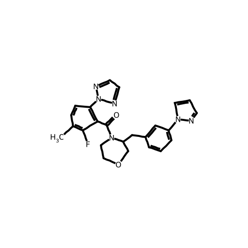 Cc1ccc(-n2nccn2)c(C(=O)N2CCOCC2Cc2cccc(-n3cccn3)c2)c1F